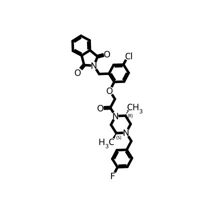 C[C@@H]1CN(Cc2ccc(F)cc2)[C@@H](C)CN1C(=O)COc1ccc(Cl)cc1CN1C(=O)c2ccccc2C1=O